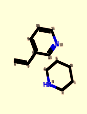 C1CCNCC1.C=Cc1cccnc1